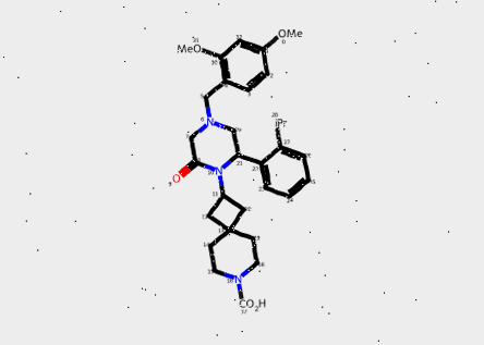 COc1ccc(CN2CC(=O)N(C3CC4(CCN(C(=O)O)CC4)C3)C(c3ccccc3C(C)C)C2)c(OC)c1